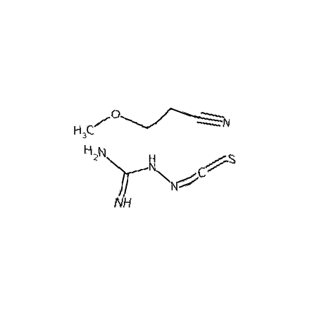 COCCC#N.N=C(N)NN=C=S